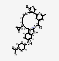 Cc1cc2cc(n1)-c1cnn(C)c1OCCCC(C1CC1)CN1/C(=N/C2=O)Nc2cc(NC3CCN(C(C)C)CC3)ccc21